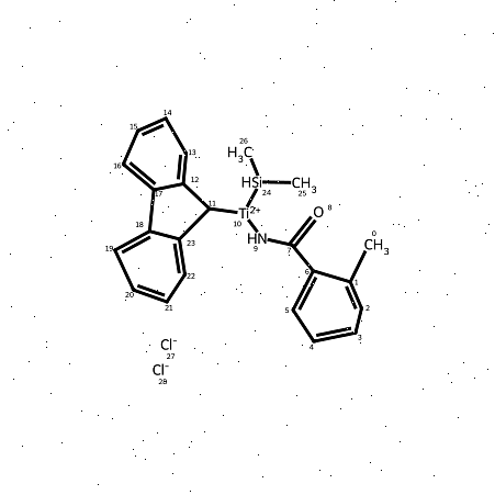 Cc1ccccc1C(=O)[NH][Ti+2]([CH]1c2ccccc2-c2ccccc21)[SiH](C)C.[Cl-].[Cl-]